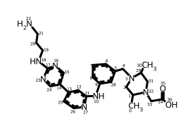 CC1CN(Cc2cccc(Nc3cc(-c4cnc(NCCCN)nc4)ccn3)c2)C(C)CN1CC(=O)O